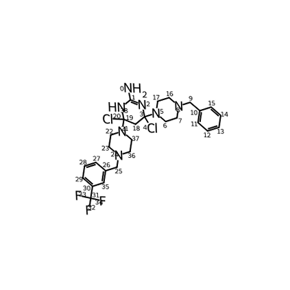 NC1=NC(Cl)(N2CCN(Cc3ccccc3)CC2)CC(Cl)(N2CCN(Cc3cccc(C(F)(F)F)c3)CC2)N1